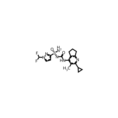 Cc1c(C2CC2)nc2c(c1NC(=O)N=S(N)(=O)c1ccn(C(F)F)n1)CCC2